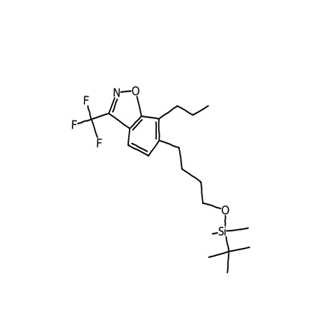 CCCc1c(CCCCO[Si](C)(C)C(C)(C)C)ccc2c(C(F)(F)F)noc12